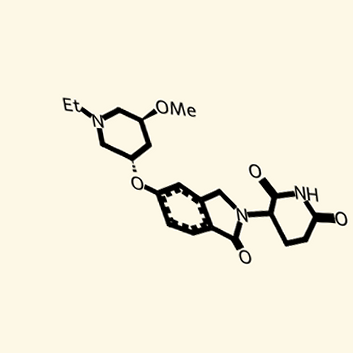 CCN1C[C@@H](OC)C[C@H](Oc2ccc3c(c2)CN(C2CCC(=O)NC2=O)C3=O)C1